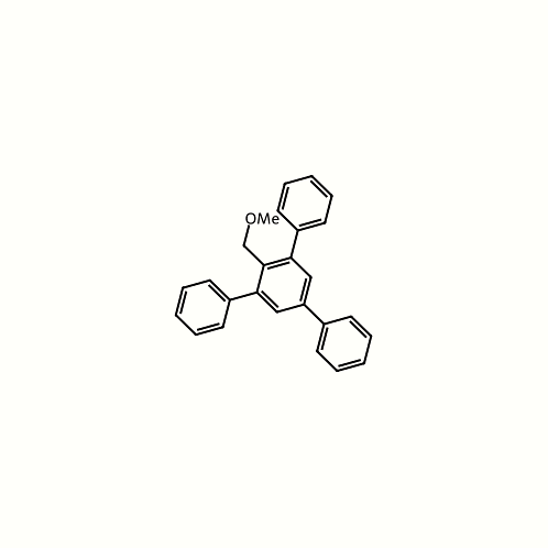 COCc1c(-c2ccccc2)cc(-c2ccccc2)cc1-c1ccccc1